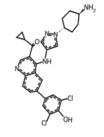 N[C@H]1CC[C@H](n2cc(Nc3c(C(=O)C4CC4)cnc4ccc(-c5cc(Cl)c(O)c(Cl)c5)cc34)cn2)CC1